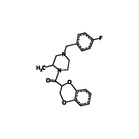 CC1CN(Cc2ccc(F)cc2)CCN1C(=O)C1COc2ccccc2O1